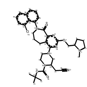 CN1CCCC1COc1nc2c(c(N3CCN(C(=O)OC(C)(C)C)C(CC#N)C3)n1)CCCN(c1cccc3cccc(Cl)c13)C2=O